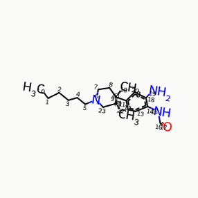 CCCCCCN1CC[C@](C)(c2ccc(NC=O)c(N)c2)[C@@H](C)C1